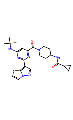 CC(C)(C)Nc1cc(C(=O)N2CCC(NC(=O)C3CC3)CC2)nc(-c2cnn3ccsc23)n1